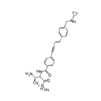 C[C@@H](N)C(NC(=O)c1ccc(C#C/C=C/c2ccc(CNC3CC3)cc2)cc1)C(=O)NO